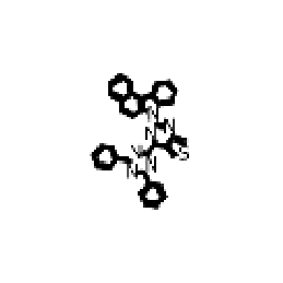 c1ccc(-c2nc(-c3ccccc3)nc(-c3nc(-n4c5ccccc5c5c6ccccc6ccc54)nc4cscc34)n2)cc1